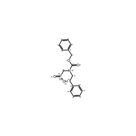 O=C(OCc1ccccc1)N(CCc1ccccc1)C[PH](=O)O